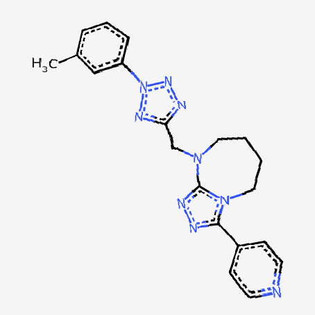 Cc1cccc(-n2nnc(CN3CCCCn4c(-c5ccncc5)nnc43)n2)c1